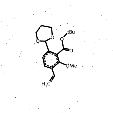 C=Cc1ccc(C2OCCCO2)c(C(=O)OC(C)(C)C)c1OC